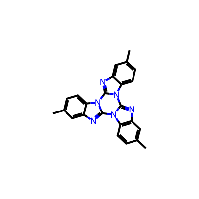 Cc1ccc2c(c1)nc1n2c2nc3cc(C)ccc3n2c2nc3cc(C)ccc3n12